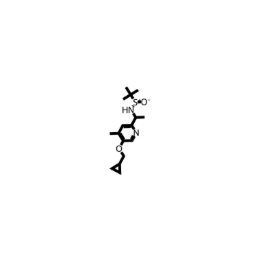 Cc1cc(C(C)N[S+]([O-])C(C)(C)C)ncc1OCC1CC1